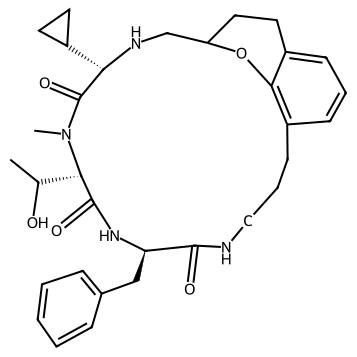 CC(O)[C@H]1C(=O)N[C@H](Cc2ccccc2)C(=O)NCCCc2cccc3c2OC(CC3)CN[C@@H](C2CC2)C(=O)N1C